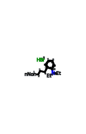 Br.CCCCCCCCCCCCc1ccccc1N(CC)CC